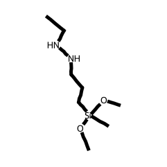 CCNNCCC[Si](C)(OC)OC